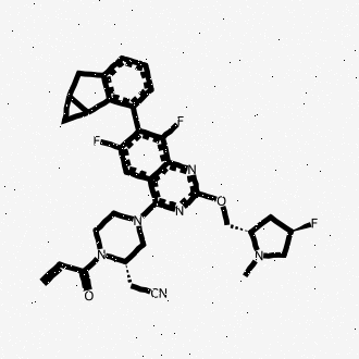 C=CC(=O)N1CCN(c2nc(OC[C@@H]3C[C@@H](F)CN3C)nc3c(F)c(-c4cccc5c4C4CC4C5)c(F)cc23)C[C@@H]1CC#N